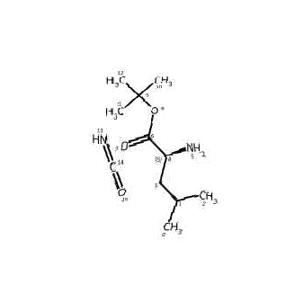 CC(C)C[C@H](N)C(=O)OC(C)(C)C.N=C=O